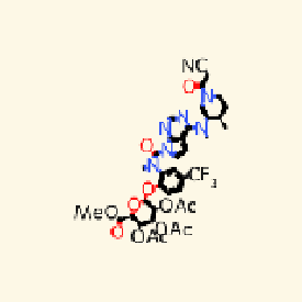 COC(=O)[C@H]1O[C@@H](Oc2ccc(C(F)(F)F)cc2N(C)C(=O)n2ccc3c(N(C)C4CN(C(=O)CC#N)CC[C@H]4C)ncnc32)[C@H](OC(C)=O)[C@@H](OC(C)=O)[C@@H]1OC(C)=O